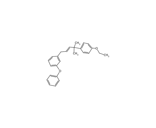 CCOc1ccc(C(C)(C)C=CCc2cccc(Oc3ccccc3)c2)cc1